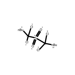 CCCCC(Cl)(Cl)S(=O)(=O)C(Cl)(Cl)CCCC